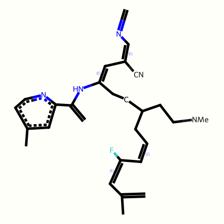 C=N/C=C(C#N)\C=C(/CCC(C/C=C\C(F)=C/C(=C)C)CCNC)NC(=C)c1cc(C)ccn1